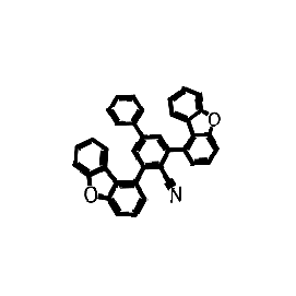 N#Cc1c(-c2cccc3oc4ccccc4c23)cc(-c2ccccc2)cc1-c1cccc2oc3ccccc3c12